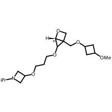 COC1CC(OCC23CO[C@H]2C3OCCCOC2CN(C(C)C)C2)C1